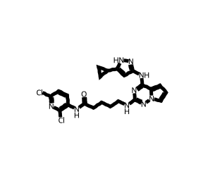 O=C(CCCCNc1nc(Nc2cc(C3CC3)[nH]n2)c2cccn2n1)Nc1ccc(Cl)nc1Cl